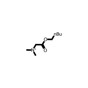 CCCCCOC(=O)C[N+](C)C